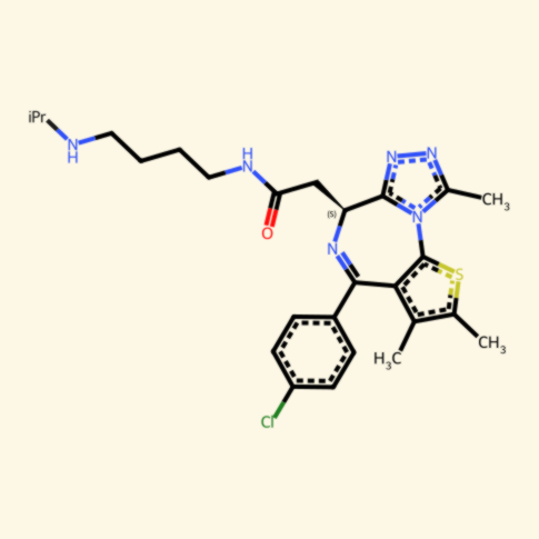 Cc1sc2c(c1C)C(c1ccc(Cl)cc1)=N[C@@H](CC(=O)NCCCCNC(C)C)c1nnc(C)n1-2